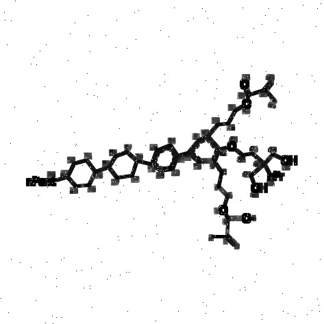 C=C(C)C(=O)OCCCc1cc(-c2ccc(C3CCC(C4CCC(CCCCC)CC4)CC3)cc2)cc(CCCOC(=O)C(=C)C)c1OCCC(CO)(CO)CCC